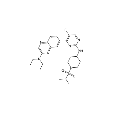 CCN(CC)c1cnc2ccc(-c3nc(NC4CCN(S(=O)(=O)C(C)C)CC4)ncc3F)cc2n1